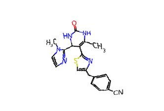 CC1=C(c2nc(-c3ccc(C#N)cc3)cs2)C(c2nccn2C)NC(=O)N1